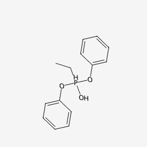 CC[PH](O)(Oc1ccccc1)Oc1ccccc1